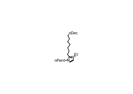 CCCCCCCCCCCCCCCCCc1n(CCCCC)cc[n+]1CC